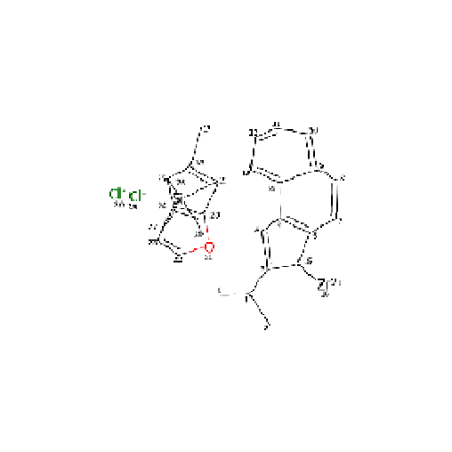 CC(C)C1=Cc2c(ccc3ccccc23)[CH]1[Zr+2].CC1=C2c3occc3C1[Si]2(C)C.[Cl-].[Cl-]